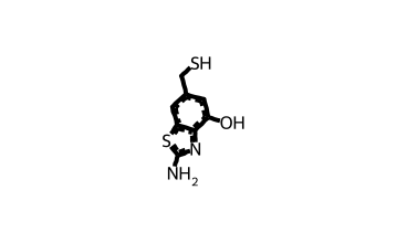 Nc1nc2c(O)cc(CS)cc2s1